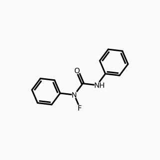 O=C(Nc1ccccc1)N(F)c1ccccc1